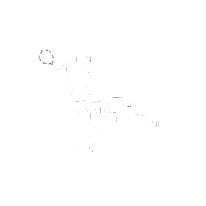 C[C@H](CCCN(C)Cc1ccccc1)[C@H]1CC[C@H]2[C@@H]3[C@H](OCCCN)C[C@@H]4C[C@H](OCCCN)CC[C@]4(C)[C@H]3C[C@H](OCCCN)[C@]12C